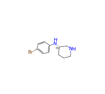 Brc1ccc(N[C@H]2CCCNC2)cc1